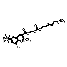 CCc1cc(S(F)(F)(F)(F)F)cc2c1O[C@H](C(F)(F)F)C(C(=O)OCOC(=O)OCCSCCO[N+](=O)[O-])=C2